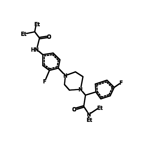 CCC(CC)C(=O)Nc1ccc(N2CCN(C(C(=O)N(CC)CC)c3ccc(F)cc3)CC2)c(F)c1